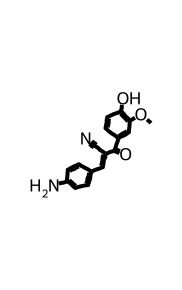 COc1cc(C(=O)C(C#N)=Cc2ccc(N)cc2)ccc1O